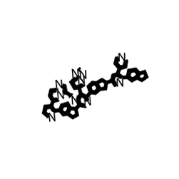 N#Cc1cnc2ccc(-c3cccnc3-c3ccc4c(c3)CCC4c3cnc(-c4ccc5c(c4)CC(c4cnc(-c6ccc7c(c6)CCC7)c(-c6ccncc6)c4)C5)c(-c4ccc5ncnn5c4)c3)cn12